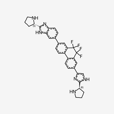 FC1(F)c2cc(-c3ccc4nc([C@@H]5CCCN5)[nH]c4c3)ccc2-c2ccc(-c3c[nH]c([C@H]4CCCN4)n3)cc2C1(F)F